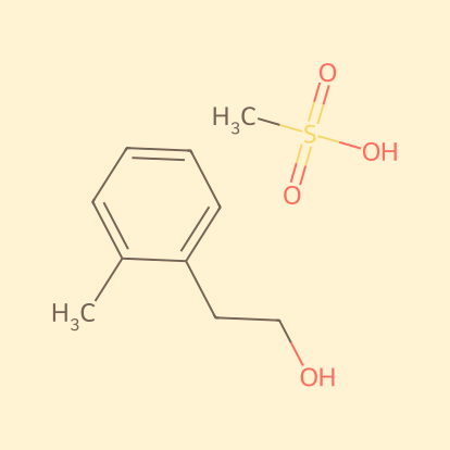 CS(=O)(=O)O.Cc1ccccc1CCO